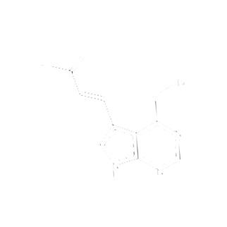 CCC(=O)/C=C/c1c[nH]c2ncnc(OC(C)(C)C)c12